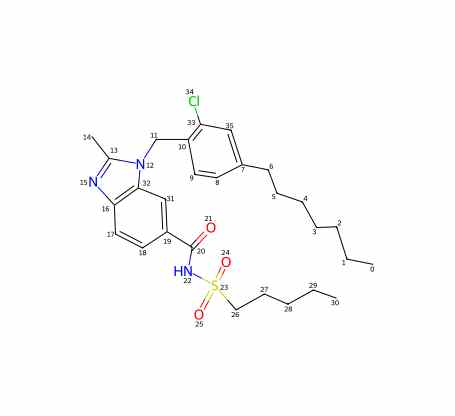 CCCCCCCc1ccc(Cn2c(C)nc3ccc(C(=O)NS(=O)(=O)CCCCC)cc32)c(Cl)c1